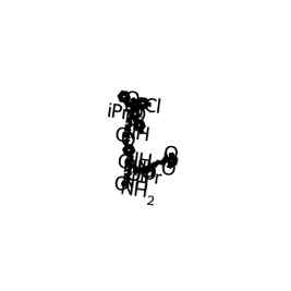 Cc1ccc(C(=O)N(CCCNC(=O)OCc2ccc(NC(=O)[C@H](CCCNC(N)=O)NC(=O)[C@@H](NC(=O)CCCCCN3C(=O)C=CC3=O)C(C)C)cc2)[C@@H](c2nc3cc(Cl)ccc3c(=O)n2Cc2ccccc2)C(C)C)cc1